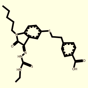 CCCCCN1C(=O)/C(=N\NC(=S)NCC)c2cc(SCCc3ccc(C(=O)O)cc3)ccc21